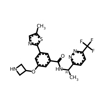 Cc1cnc(-c2cc(OC3CNC3)cc(C(=O)N[C@H](C)c3ccc(C(F)(F)F)nn3)c2)s1